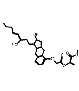 CCCCCC(O)CCC1C(O)CC2Cc3c(cccc3OCC(=O)OC(C)C(=O)OC)CC21